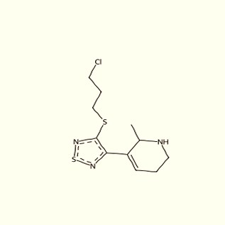 CC1NCCC=C1c1nsnc1SCCCCl